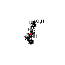 CC1=C(CC(=O)NCc2ccc(NC(=O)O)nc2C)C(=O)NCC1NS(=O)(=O)Cc1ccccc1